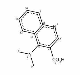 CN(C)c1c(C(=O)O)cnc2ccccc12